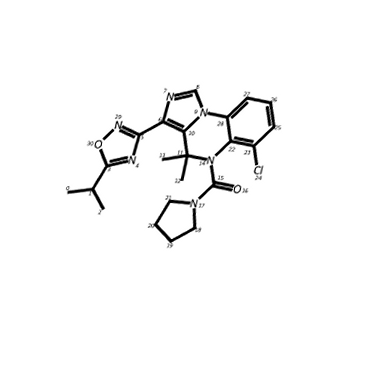 CC(C)c1nc(-c2ncn3c2C(C)(C)N(C(=O)N2CCCC2)c2c(Cl)cccc2-3)no1